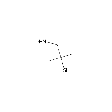 CC(C)(S)C[NH]